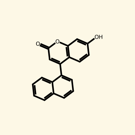 O=c1cc(-c2cccc3ccccc23)c2ccc(O)cc2o1